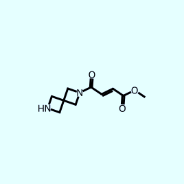 COC(=O)/C=C/C(=O)N1CC2(CNC2)C1